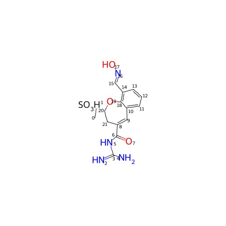 CS(=O)(=O)O.N=C(N)NC(=O)C1=Cc2cccc(C=NO)c2OCC1